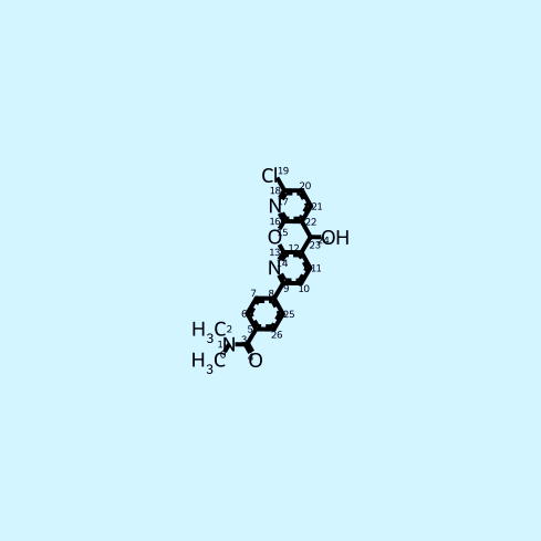 CN(C)C(=O)c1ccc(-c2ccc3c(n2)Oc2nc(Cl)ccc2C3O)cc1